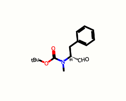 CN(C(=O)OC(C)(C)C)[C@@H](C=O)Cc1ccccc1